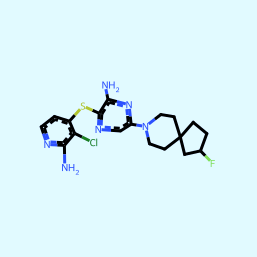 Nc1nc(N2CCC3(CCC(F)C3)CC2)cnc1Sc1ccnc(N)c1Cl